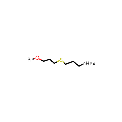 CCCCCCCCCSCCCOC(C)C